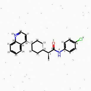 C[C@H](C(=O)Nc1ccc(Cl)cc1)[C@H]1CC[C@@H](c2ccnc3ccccc32)CC1